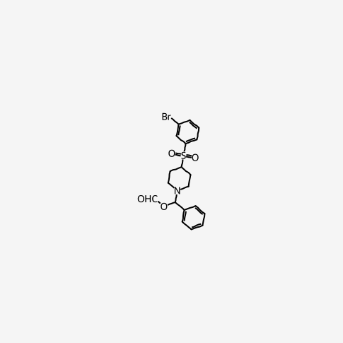 O=COC(c1ccccc1)N1CCC(S(=O)(=O)c2cccc(Br)c2)CC1